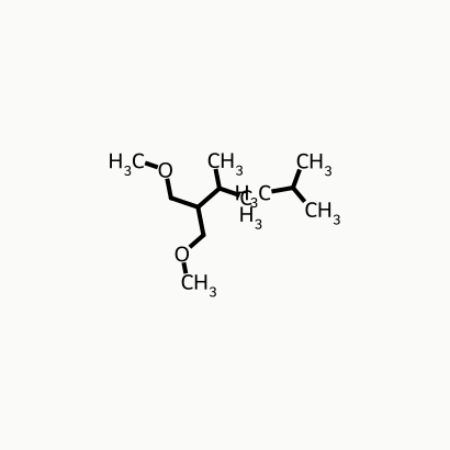 CC(C)C.COCC(COC)C(C)C